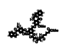 COC(=O)CCCCC(=O)N[C@@H](C)C(=O)N[C@@H](C)C(=O)Nc1cc(COc2cc(N)c(C(=O)N3CCc4ccccc43)cc2OC)cc(COc2cc3c(cc2OC)C(=O)N2c4ccccc4C[C@H]2CN3)c1